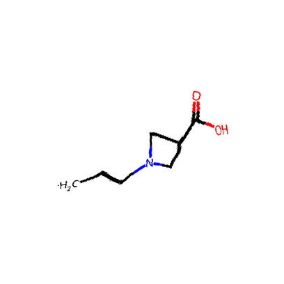 [CH2]CCN1CC(C(=O)O)C1